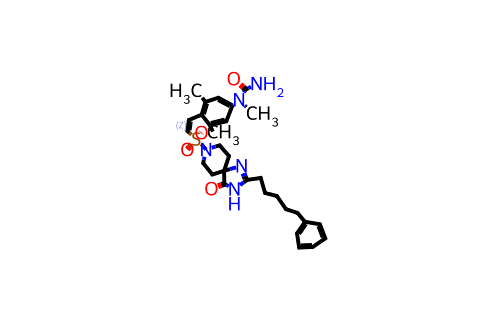 Cc1cc(N(C)C(N)=O)cc(C)c1/C=C\S(=O)(=O)N1CCC2(CC1)N=C(CCCCCc1ccccc1)NC2=O